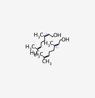 CC(C)=CCC/C(C)=C/CO.CC(C)=CCC/C(C)=C\CO